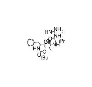 CC(CC(O)C(Cc1ccccc1)NC(=O)OC(C)(C)C)C(=O)N[C@H](C(=O)NC(=N)N)C(C)C